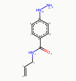 C=CCNC(=O)c1ccc(NN)cc1